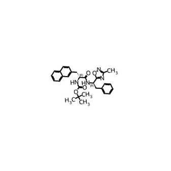 Cc1noc([C@@H](Cc2ccccc2)NC(=O)[C@@H](Cc2ccc3ccccc3c2)NC(=O)OC(C)(C)C)n1